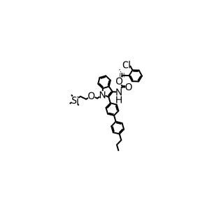 CCCc1ccc(-c2ccc(-c3c(NC(=O)O[C@H](C)c4ccccc4Cl)c4ccccc4n3COCC[Si](C)(C)C)cc2)cc1